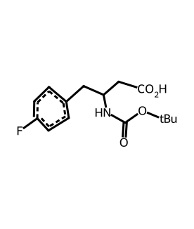 CC(C)(C)OC(=O)NC(CC(=O)O)Cc1ccc(F)cc1